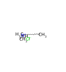 C=CCC[N+](C)(C)CCCCCCCCCCCCCCCC.[Cl-]